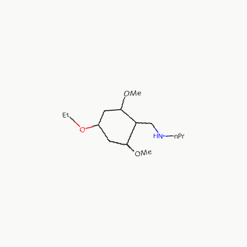 CCCNCC1C(OC)CC(OCC)CC1OC